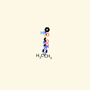 CC(C)N1CCN([n+]2cc([N-]C(=O)CCSC(=O)Nc3ccccc3)on2)CC1